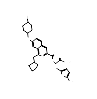 COC(=O)[C@H](Cc1ccc(C(C)C)s1)NC(=O)c1cc2ccc(OC3CCC(C(C)C)CC3)cc2c(CC2CCCC2)n1